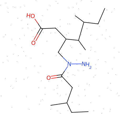 CCC(C)CC(=O)N(N)CC(CC(=O)O)C(C)C(C)CC